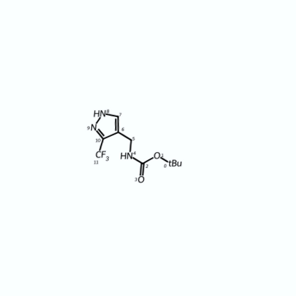 CC(C)(C)OC(=O)NCc1c[nH]nc1C(F)(F)F